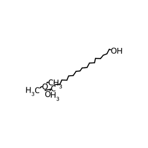 C1CO1.CCCCCCCCCCCCCCCCCCO.CCOCC